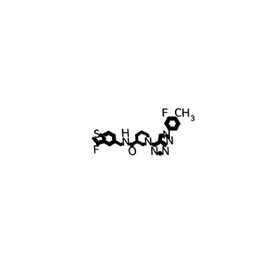 Cc1ccc(-n2cc3c(N4CCCC(C(=O)NCc5ccc6scc(F)c6c5)C4)ncnc3n2)cc1F